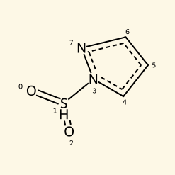 O=[SH](=O)n1cccn1